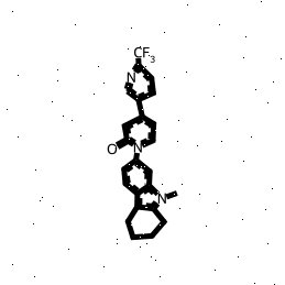 Cn1c2c(c3ccc(-n4ccc(-c5ccc(C(F)(F)F)nc5)cc4=O)cc31)CCCC2